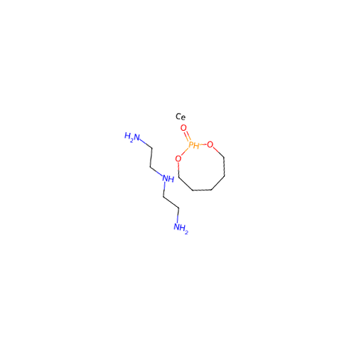 NCCNCCN.O=[PH]1OCCCCCO1.[Ce]